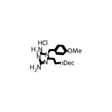 CCCCCCCCCCCCC1N=C(N)N=C(N)N1Cc1ccc(OC)cc1.Cl